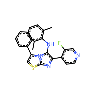 Cc1cccc(C)c1Nc1c(-c2ccncc2F)nc2scc(-c3ccccc3)n12